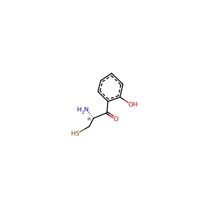 N[C@@H](CS)C(=O)c1ccccc1O